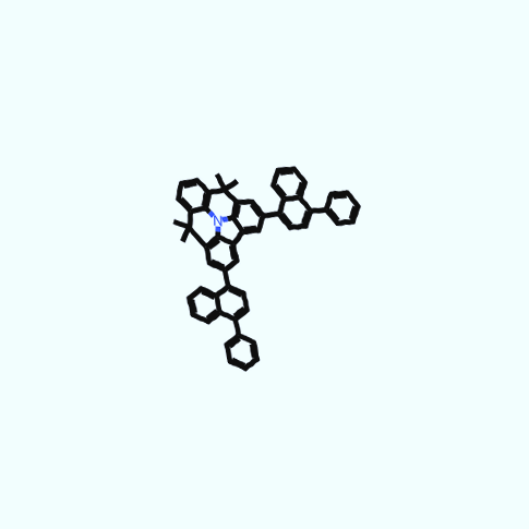 CC1(C)c2cccc3c2-n2c4c1cc(-c1ccc(-c5ccccc5)c5ccccc15)cc4c1cc(-c4ccc(-c5ccccc5)c5ccccc45)cc(c12)C3(C)C